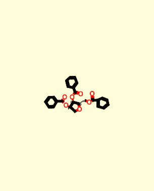 O=C(OC[C@@H]1O[CH][C@@H](OC(=O)c2ccccc2)[C@H]1OC(=O)c1ccccc1)c1ccccc1